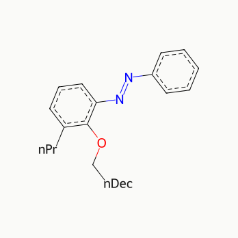 CCCCCCCCCCCOc1c(CCC)cccc1N=Nc1ccccc1